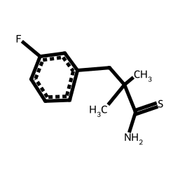 CC(C)(Cc1cccc(F)c1)C(N)=S